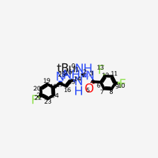 CC(C)(C)N/C(=N/C(=O)c1ccc(F)cc1F)Nc1cc(-c2ccc(F)cc2)n[nH]1